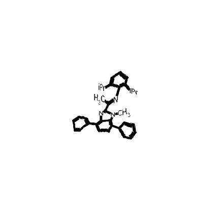 C/C(=N\c1c(C(C)C)cccc1C(C)C)c1nc2c(-c3ccccc3)ccc(-c3ccccc3)c2n1C